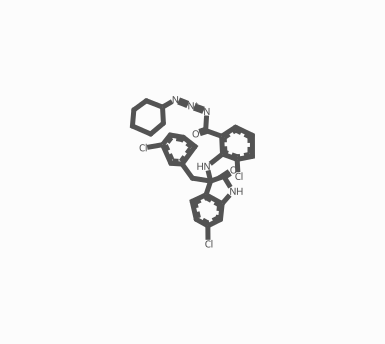 O=C(N=[N+]=NC1CCCCC1)c1cccc(Cl)c1NC1(Cc2cccc(Cl)c2)C(=O)Nc2cc(Cl)ccc21